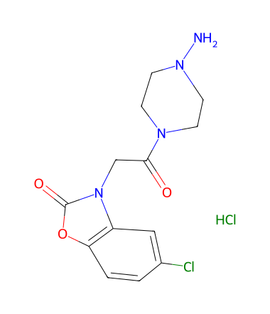 Cl.NN1CCN(C(=O)Cn2c(=O)oc3ccc(Cl)cc32)CC1